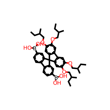 CCC(C)COc1cc2c(cc1OCC(C)CC)C1(c3cc(B(O)O)ccc3-c3ccc(B(O)O)cc31)c1cc(OCC(C)CC)c(OCC(C)CC)cc1-2